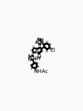 CC(=O)Nc1ccc(-c2nnc([C@@H]3CCc4cc(-c5cc(Cl)ccc5-n5cnnn5)cc(=O)n43)[nH]2)cc1